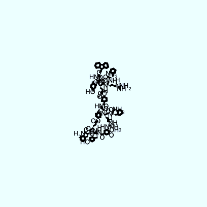 COc1cc(C(=O)N[C@@H](Cc2ccc(O)cc2)C(=O)N[C@@H](CCC(=O)Oc2ccc(C[C@H](NC(=O)c3ccc(OC(=O)CC[C@H](NC(=O)[C@H](Cc4ccc(O)cc4)NC(=O)OCC4c5ccccc5-c5ccccc54)C(=O)N[C@@H](CCCNC(=N)N)C(=O)N[C@@H](Cc4ccccc4)C(N)=O)c(OC)c3)C(=O)N[C@@H](CCCNC(=N)N)C(=O)N[C@@H](Cc3ccccc3)C(N)=O)cc2)C(=O)N[C@@H](Cc2ccccc2)C(N)=O)ccc1O